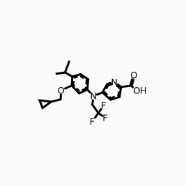 CC(C)c1ccc(N(CC(F)(F)F)c2ccc(C(=O)O)nc2)cc1OCC1CC1